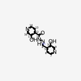 O=C(N/N=C/c1ccncc1O)c1ccncc1O